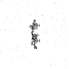 CNc1nc(Nc2cccc(C#N)c2)ncc1C#CCCCNC(=O)C1C[C@H](F)CN1